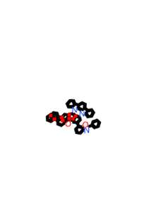 c1ccc(-c2ccc(-c3cc(-c4cccc5nc(-c6ccccc6)oc45)cc(-n4c5ccccc5c5ccc6c7ccccc7n(-c7ccc8oc9ccc(-c%10ccccc%10)cc9c8c7)c6c54)c3)cc2)cc1